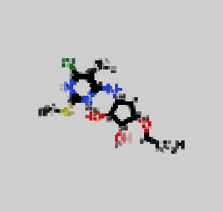 CCCSc1nc(Cl)c([N+](=O)[O-])c(N[C@@H]2C[C@H](OCC(=O)O)[C@H](O)[C@H]2O)n1